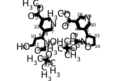 COC(=O)c1cncc(C(CCO)N(O)C(=O)OC(C)(C)C)c1.COC(=O)c1cncc(C2CCON2C(=O)OC(C)(C)C)c1